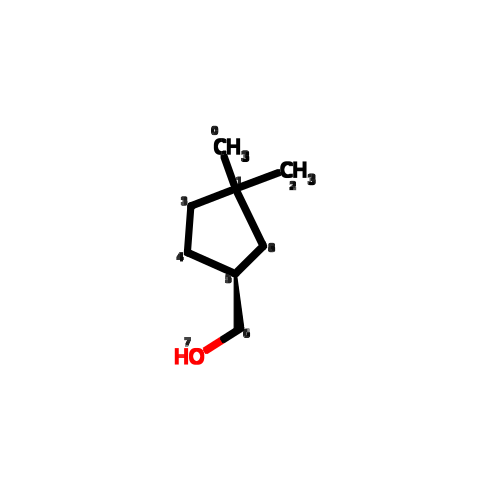 CC1(C)CC[C@H](CO)C1